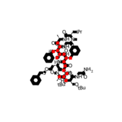 CC(C)C[C@@H](C(=O)N[C@@H](C)C(=O)N[C@H](C(=O)N[C@@H](Cc1ccccc1)C(=O)N[C@@H](CC(=O)OSCc1ccccc1)C(=O)N(C)[C@@H](C)C(=O)N[C@@H](COC(C)(C)C)C(=O)NCC(N)=O)C(C)C)N(C)C(=O)CNC(=O)[C@H](Cc1ccccc1)N(C)C(=O)[C@H](C)NC(=O)CNC(=O)OC(C)(C)C